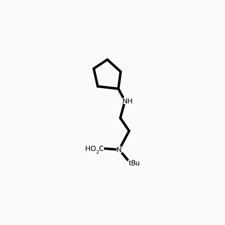 CC(C)(C)N(CCNC1CCCC1)C(=O)O